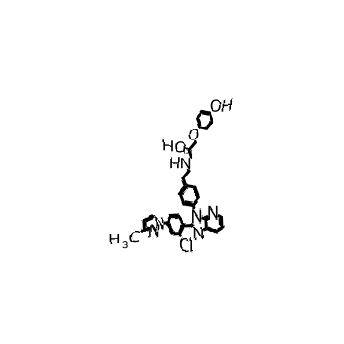 Cc1ccn(-c2ccc(-c3nc4cccnc4n3-c3ccc(CCNC[C@H](O)COc4ccc(O)cc4)cc3)c(Cl)c2)n1